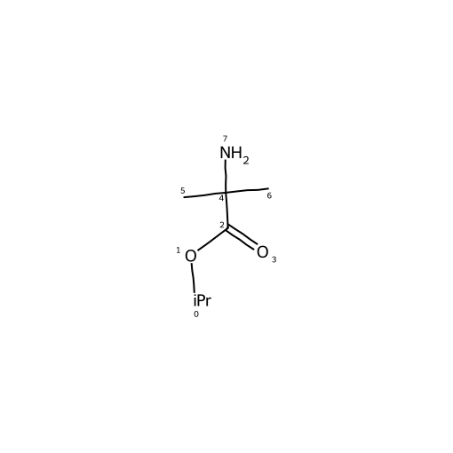 CC(C)OC(=O)C(C)(C)N